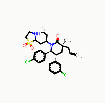 C=CC[C@@]1(C)C[C@H](c2cccc(Cl)c2)[C@@H](c2ccc(Cl)cc2)N(C(CC)CC2NCCS2(=O)=O)C1=O